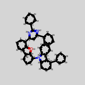 c1ccc(-c2cc(-c3cccc4c3oc3c(-n5c6ccccc6c6c(-c7ccccc7)cccc65)cccc34)nc(-c3ccccc3)n2)cc1